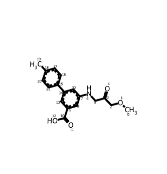 COCC(=O)CNc1cc(C(=O)O)cc(-c2ccc(C)cc2)c1